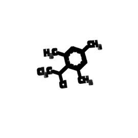 Cc1cc(C)c(C(Cl)C(Cl)(Cl)Cl)c(C)c1